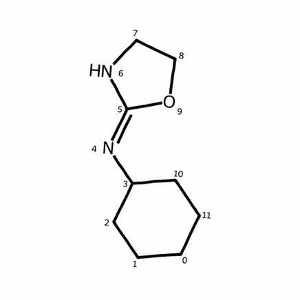 C1CCC(N=C2NCCO2)CC1